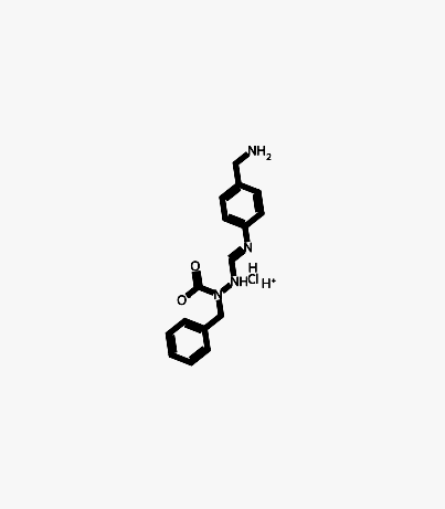 Cl.NCc1ccc(/N=C/NN(Cc2ccccc2)C(=O)[O-])cc1.[H+]